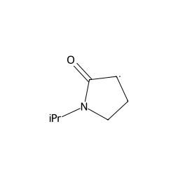 CC(C)N1CC[CH]C1=O